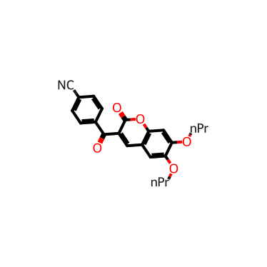 CCCOc1cc2cc(C(=O)c3ccc(C#N)cc3)c(=O)oc2cc1OCCC